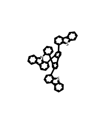 c1ccc2c(c1)-n1c3ccccc3c3cccc(c31)C21c2cc(-c3cccc4c3sc3ccccc34)ccc2-c2ccc(-c3cccc4c3sc3ccccc34)cc21